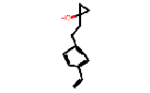 C=Cc1ccc(CCC2(O)CC2)cc1